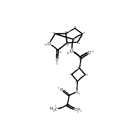 C=C(C)C(=O)OC1CC(C(=O)OC2C3CC4C(=O)OC2C4C3)C1